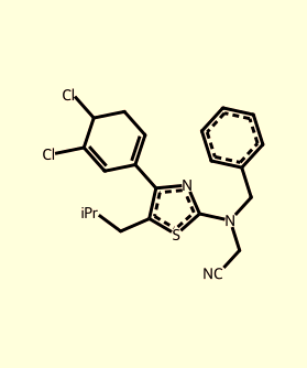 CC(C)Cc1sc(N(CC#N)Cc2ccccc2)nc1C1=CCC(Cl)C(Cl)=C1